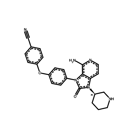 N#Cc1ccc(Oc2ccc(-n3c(=O)n([C@@H]4CCCNC4)c4ccnc(N)c43)cc2)cc1